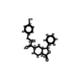 O=C(NCc1ccc(F)cc1)N1CCN2C(=O)OC(c3ccccc3)C2C1